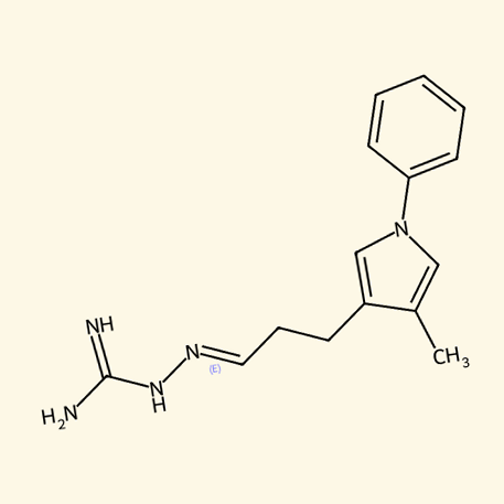 Cc1cn(-c2ccccc2)cc1CC/C=N/NC(=N)N